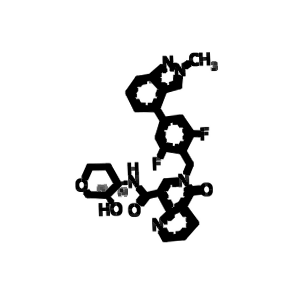 Cn1cc2c(-c3cc(F)c(Cn4cc(C(=O)N[C@H]5CCOC[C@@H]5O)c5ncccc5c4=O)c(F)c3)cccc2n1